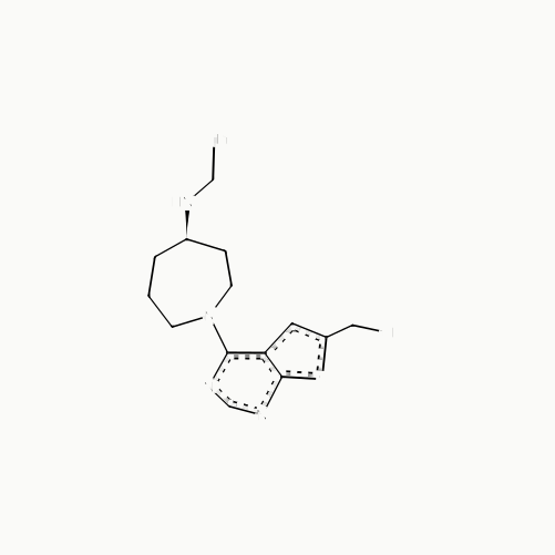 CC(C)CN[C@@H]1CCCN(c2ncnc3sc(CC(F)(F)F)cc23)CC1